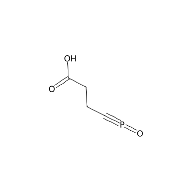 O=P#CCCC(=O)O